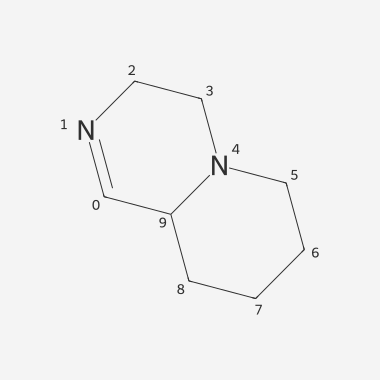 C1=NCCN2CCCCC12